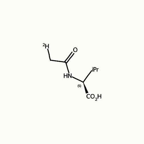 [2H]CC(=O)N[C@H](C(=O)O)C(C)C